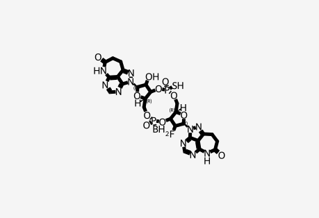 BP1(=O)OC[C@H]2O[C@@H](n3nc4c5c(ncnc53)NC(=O)CC4)C(O)C2OP(=O)(S)OC[C@H]2O[C@@H](n3nc4c5c(ncnc53)NC(=O)CC4)C(F)C2O1